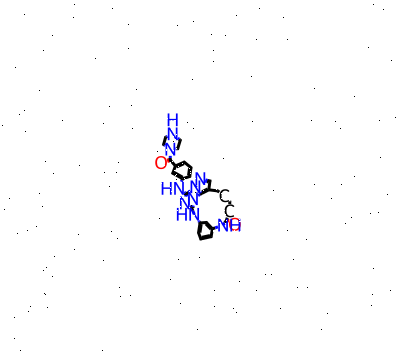 O=C1CCCCc2cnn3c(Nc4cccc(C(=O)N5CCNCC5)c4)nc(nc23)Nc2cccc(c2)N1